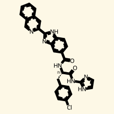 O=C(N[C@@H](Cc1ccc(Cl)cc1)C(=O)Nc1ncc[nH]1)c1ccc2[nH]c(-c3cc4ccccc4cn3)nc2c1